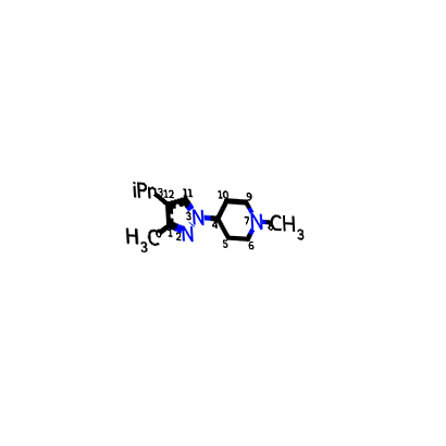 Cc1nn(C2CCN(C)CC2)cc1C(C)C